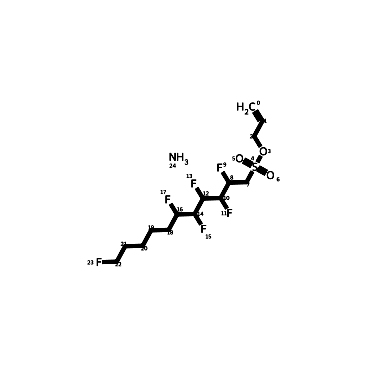 C=CCOS(=O)(=O)CC(F)C(F)C(F)C(F)C(F)CCCCCF.N